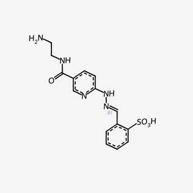 NCCNC(=O)c1ccc(N/N=C/c2ccccc2S(=O)(=O)O)nc1